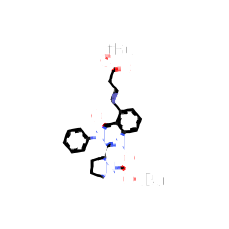 CC(C)(C)OC(=O)C/C=C/c1cccc2nc([C@@H]3CCCN3C(=O)OC(C)(C)C)n(-c3ccccc3)c(=O)c12